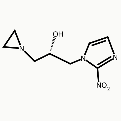 O=[N+]([O-])c1nccn1C[C@@H](O)CN1CC1